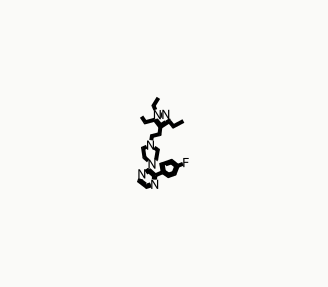 CCc1nn(CC)c(CC)c1CCN1CCN(c2nccnc2-c2ccc(F)cc2)CC1